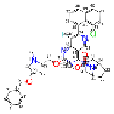 CN1C[C@@H](OCc2ccccc2)C[C@H]1COc1nc(N2CC3CCC(C2)N3C(=O)OC(C)(C)C)c2cnc(-c3cccc4cccc(Cl)c34)c(F)c2n1